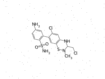 CN1Sc2cc(-c3cc(N)ccc3S(N)(=O)=O)c(Cl)cc2NC1CCl